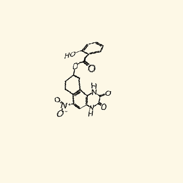 O=C(OC1CCc2c([N+](=O)[O-])cc3[nH]c(=O)c(=O)[nH]c3c2C1)c1ccccc1O